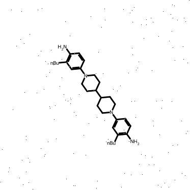 CCCCc1cc(N2CCC(C3CCN(c4ccc(N)c(CCCC)c4)CC3)CC2)ccc1N